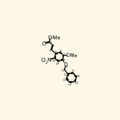 COC(=O)C=Cc1cc(OC)c(OCc2ccccc2)cc1[N+](=O)[O-]